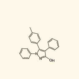 Cc1ccc(-c2c(-c3ccccc3)c(O)nn2-c2ccccc2)cc1